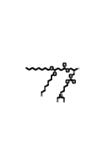 [CH2]C(COC(=O)CCC(OCCCCCCCC)OCCCCCCCC)COC(=O)OCCCCN(CC)CC